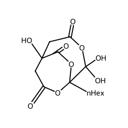 CCCCCCC12OC(=O)CC(O)(CC(=O)OC1(O)O)C(=O)O2